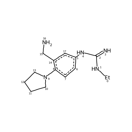 CCNC(=N)Nc1ccc(N2CCCC2)c(CN)c1